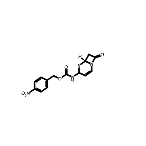 O=C(NC1C=CN2C(=O)C[C@H]2S1)OCc1ccc([N+](=O)[O-])cc1